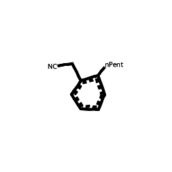 CCCCCc1ccccc1CC#N